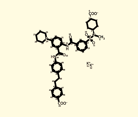 CN([C@H]1CC[C@H](C(=O)[O-])CC1)S(=O)(=O)c1cccc(C(=O)Nc2ccc(N3CCCCC3)cc2C(=O)Nc2ccc(CCc3ccc(C(=O)[O-])cc3)cc2)c1.[K+].[K+]